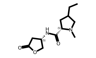 CCC1C[C@@H](C(=O)N[C@@H]2COC(=O)C2)N(C)C1